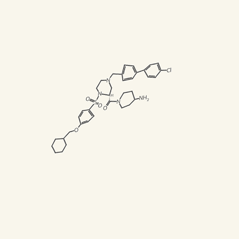 NC1CCN(C(=O)[C@H]2CN(Cc3ccc(-c4ccc(Cl)cc4)cc3)CCN2S(=O)(=O)c2ccc(OCC3CCCCC3)cc2)CC1